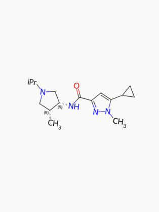 CC(C)N1C[C@@H](C)[C@@H](NC(=O)c2cc(C3CC3)n(C)n2)C1